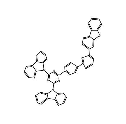 c1cc(-c2ccc(-c3nc(-n4c5ccccc5c5ccccc54)nc(-n4c5ccccc5c5ccccc54)n3)cc2)cc(-c2ccc3c(c2)sc2ccccc23)c1